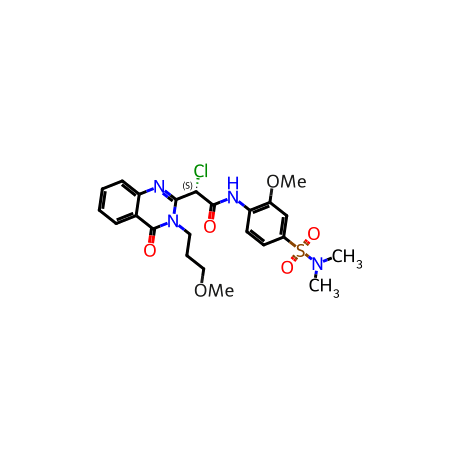 COCCCn1c([C@H](Cl)C(=O)Nc2ccc(S(=O)(=O)N(C)C)cc2OC)nc2ccccc2c1=O